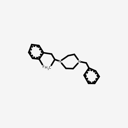 CC(Cc1ccccc1F)N1CCN(Cc2ccccc2)CC1